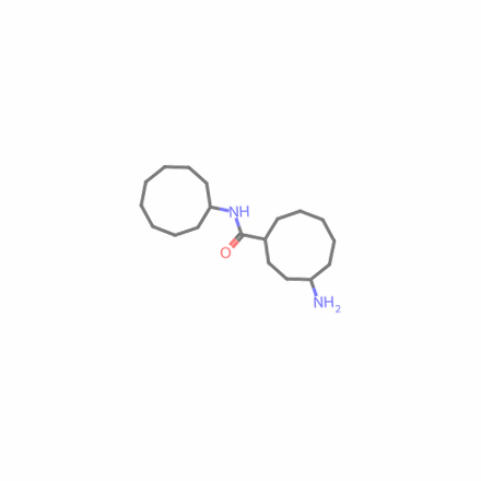 NC1CCCCCC(C(=O)NC2CCCCCCCC2)CC1